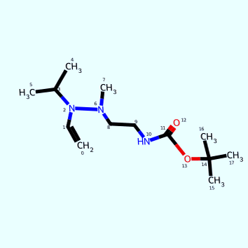 C=CN(C(C)C)N(C)CCNC(=O)OC(C)(C)C